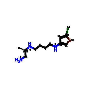 C[C@@H](CN)NCCCCNc1csc(F)c1